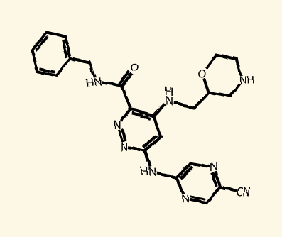 N#Cc1cnc(Nc2cc(NCC3CNCCO3)c(C(=O)NCc3ccccc3)nn2)cn1